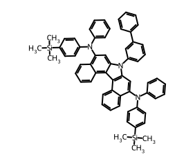 C[Si](C)(C)c1ccc(N(c2ccccc2)c2cc3c(c4ccccc24)c2c4ccccc4c(N(c4ccccc4)c4ccc([Si](C)(C)C)cc4)cc2n3-c2cccc(-c3ccccc3)c2)cc1